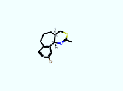 CC1=N[C@@H]2c3cc(Br)ccc3CCC[C@@H]2CS1